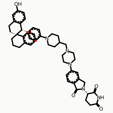 O=C1CC[C@H](N2Cc3cc(N4CCN(CC5CCN(c6ccc([C@H]7c8ccc(O)cc8CC[C@]78CCCc7ccccc78)cc6)CC5)CC4)ccc3C2=O)C(=O)N1